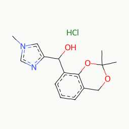 Cl.Cn1cnc(C(O)c2cccc3c2OC(C)(C)OC3)c1